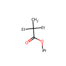 [CH2]C(CC)(CC)C(=O)OC(C)C